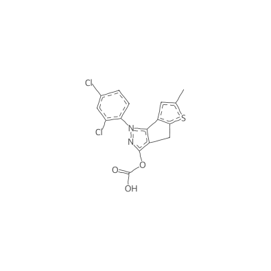 Cc1cc2c(s1)Cc1c(OC(=O)O)nn(-c3ccc(Cl)cc3Cl)c1-2